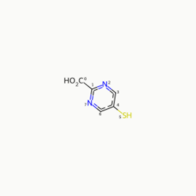 O=C(O)c1ncc(S)cn1